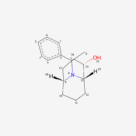 CC(c1ccccc1)N1[C@@H]2CCC[C@H]1[C@@H](O)CC2